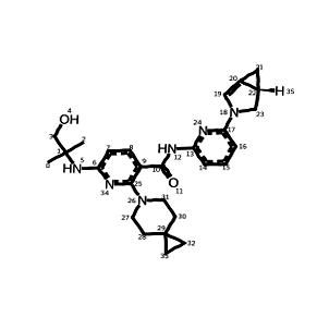 CC(C)(CO)Nc1ccc(C(=O)Nc2cccc(N3C=C4C[C@@H]4C3)n2)c(N2CCC3(CC2)CC3)n1